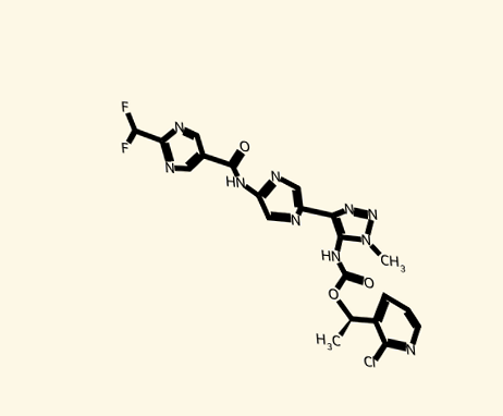 C[C@@H](OC(=O)Nc1c(-c2cnc(NC(=O)c3cnc(C(F)F)nc3)cn2)nnn1C)c1cccnc1Cl